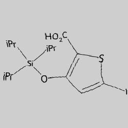 CC(C)[Si](Oc1cc(I)sc1C(=O)O)(C(C)C)C(C)C